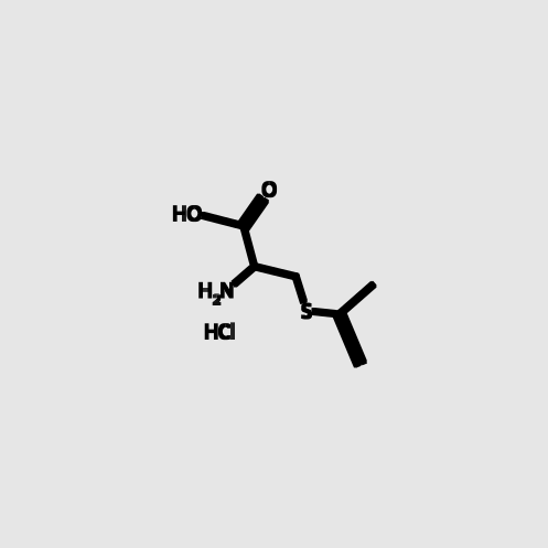 C=C(C)SCC(N)C(=O)O.Cl